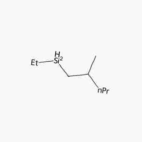 CCCC(C)C[SiH2]CC